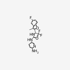 Cc1c([C@H](NC(=O)Nc2ccc(N)nc2)C(F)(F)F)oc2ccc(F)cc12